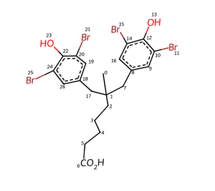 CC(CCCCC(=O)O)(Cc1cc(Br)c(O)c(Br)c1)Cc1cc(Br)c(O)c(Br)c1